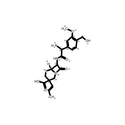 CC=CC1(C(=O)O)CS[C@@H]2C(NC(=O)C(N)c3ccc(CO)c(OC)c3)C(=O)N2C1